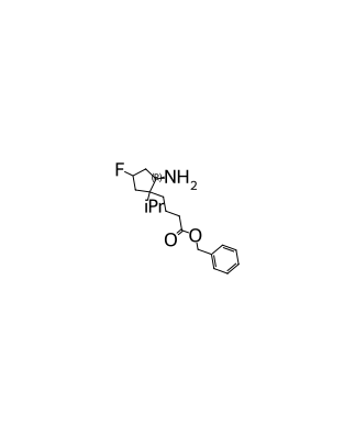 CC(C)C1(CCCC(=O)OCc2ccccc2)CC(F)C[C@H]1N